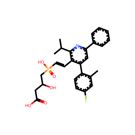 Cc1cc(F)ccc1-c1cc(-c2ccccc2)nc(C(C)C)c1C=CP(=O)(O)CC(O)CC(=O)O